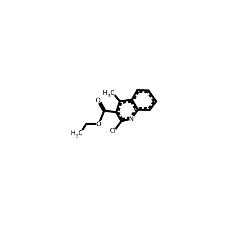 CCOC(=O)c1c(Cl)nc2ccccc2c1C